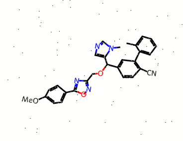 COc1ccc(-c2nc(COC(c3ccc(C#N)c(-c4ccccc4C)c3)c3cncn3C)no2)cc1